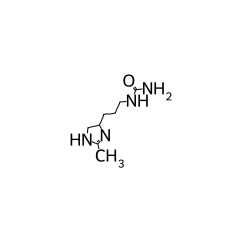 CC1=NC(CCCNC(N)=O)CN1